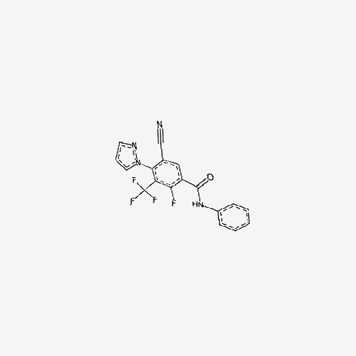 N#Cc1cc(C(=O)Nc2ccccc2)c(F)c(C(F)(F)F)c1-n1cccn1